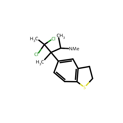 CNC(C)C(C)(c1ccc2c(c1)CCS2)C(C)(Cl)Cl